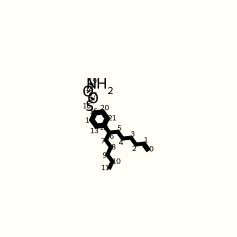 C=CCCCCC(CCCCC)c1ccc(SOON)cc1